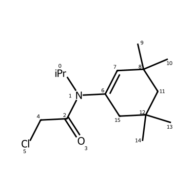 CC(C)N(C(=O)CCl)C1=CC(C)(C)CC(C)(C)C1